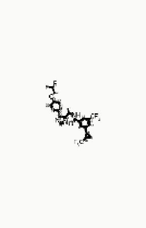 CC(NC(=O)c1cc(C2CC2C(F)(F)F)cc(C(F)(F)F)c1)c1ncnn1-c1ncc(OCC(F)F)cn1